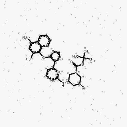 Cc1cc(N)c2ccccc2c1Oc1ncsc1-c1ccnc(N[C@H]2C[C@H](F)CN(C(=O)OC(C)(C)C)C2)n1